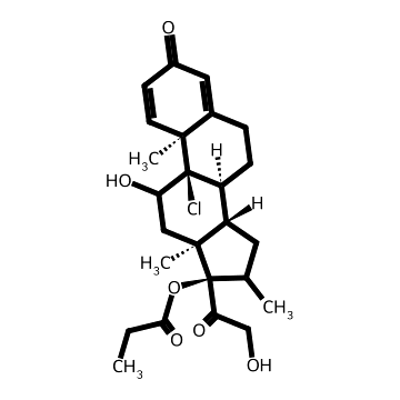 CCC(=O)O[C@]1(C(=O)CO)C(C)C[C@H]2[C@@H]3CCC4=CC(=O)C=C[C@]4(C)[C@@]3(Cl)C(O)C[C@@]21C